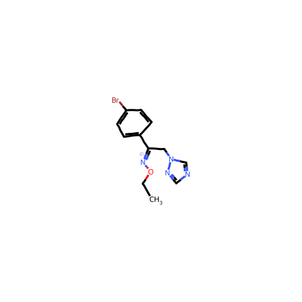 CCO/N=C(\Cn1cncn1)c1ccc(Br)cc1